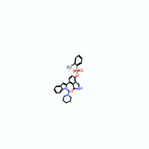 Cc1ccccc1S(=O)(=O)Oc1ccc(-c2cc3ccccc3n2CN2CCCCC2)c2c1CNC2=O